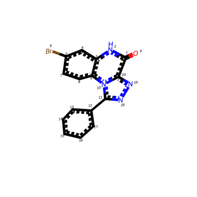 O=c1[nH]c2cc(Br)ccc2n2c(-c3ccccc3)nnc12